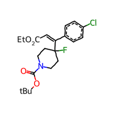 CCOC(=O)C=C(c1ccc(Cl)cc1)C1(F)CCN(C(=O)OC(C)(C)C)CC1